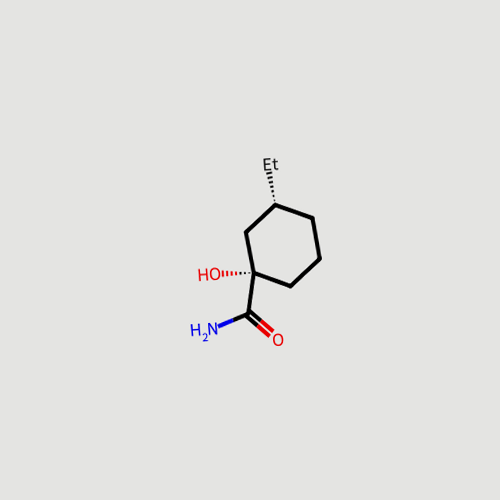 CC[C@@H]1CCC[C@@](O)(C(N)=O)C1